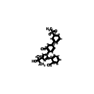 CC(C)(O)c1cn(-c2ccc(-c3cccc(S(C)(=O)=O)c3)cc2Cl)c(-c2ccccc2Cl)n1